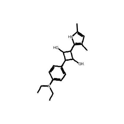 CCN(CC)c1ccc(C2C(O)C(c3[nH]c(C)cc3C)C2O)cc1